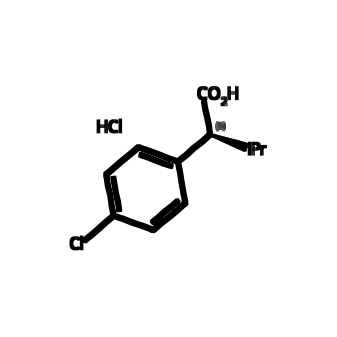 CC(C)[C@H](C(=O)O)c1ccc(Cl)cc1.Cl